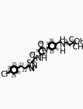 CC(C)(O)CCNCc1ccc(N2C[C@H](NC(=O)c3nnc(CCc4ccc(Cl)cc4)s3)CC2=O)cc1